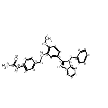 COc1ccc(-c2nc3ccccc3n2Cc2ccccc2)cc1OCc1ccc(NC(C)=O)cc1